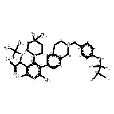 Cc1nc(C)c([C@H](OC(C)(C)C)C(=O)O)c(N2CCC(C)(C)CC2)c1-c1ccc2c(c1)CCN(Cc1ccc(OC(F)(F)C(F)F)cc1)C2